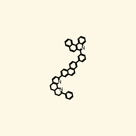 c1ccc(C2=NC3c4nc(-c5ccc6c(ccc7cc(-c8cccc(-c9nc%10ccccc%10c%10c9ccc9ccccc9%10)c8)ccc76)c5)ccc4CCC3CC2)cc1